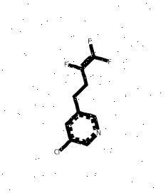 FC(F)=C(F)C[CH]c1cncc(Cl)c1